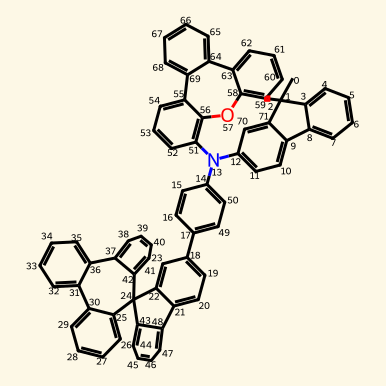 CC1(C)c2ccccc2-c2ccc(N(c3ccc(-c4ccc5c(c4)C4(c6ccccc6-c6ccccc6-c6ccccc64)c4ccccc4-5)cc3)c3cccc4c3Oc3ccccc3-c3ccccc3-4)cc21